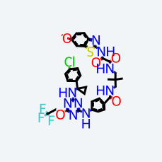 COc1ccc2nc(NC(=O)C(=O)NCC(C)(C)CNC(=O)c3ccc(Nc4nc(NC5(c6ccc(Cl)cc6)CC5)nc(OCC(F)(F)F)n4)cc3)sc2c1